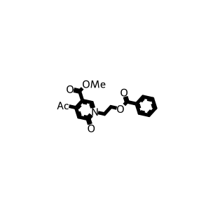 COC(=O)c1cn(CCOC(=O)c2ccccc2)c(=O)cc1C(C)=O